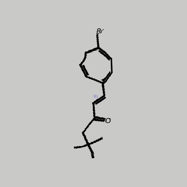 CC(C)(C)CC(=O)/C=C/C1=CC=C(Br)CC=C1